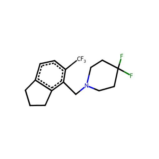 FC1(F)CCN(Cc2c(C(F)(F)F)ccc3c2CCC3)CC1